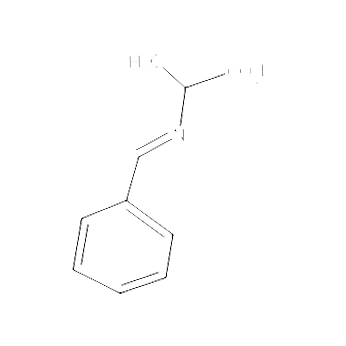 CC(/N=C/c1ccccc1)C(=O)O